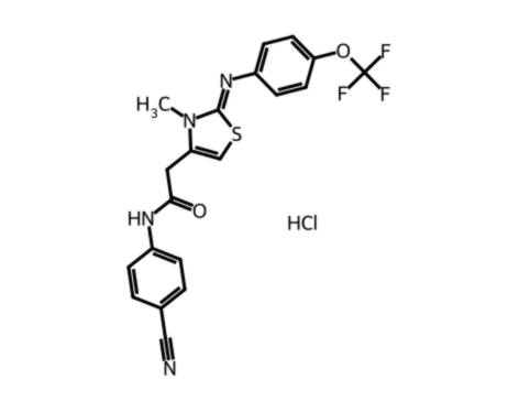 Cl.Cn1c(CC(=O)Nc2ccc(C#N)cc2)csc1=Nc1ccc(OC(F)(F)F)cc1